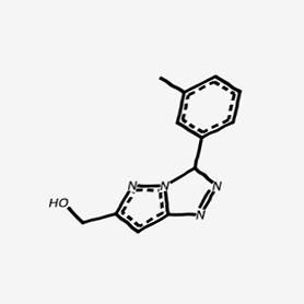 Cc1cccc(C2N=Nc3cc(CO)nn32)c1